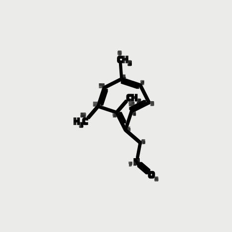 CC1=C/C=C/C(CN=O)=C(C)/C(C)=C\1